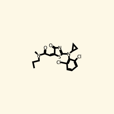 CCCN(C)C(=O)C=C1SC(N(c2c(Cl)cccc2Cl)C2CC2)=NC1=O